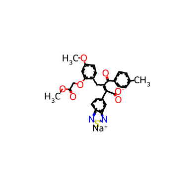 COC(=O)COc1cc(OC)ccc1CC(C(=O)c1ccc(C)cc1)=C(C(=O)[O-])c1ccc2nsnc2c1.[Na+]